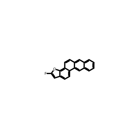 Fc1cc2ccc3c4cc5ccccc5cc4ccc3c2o1